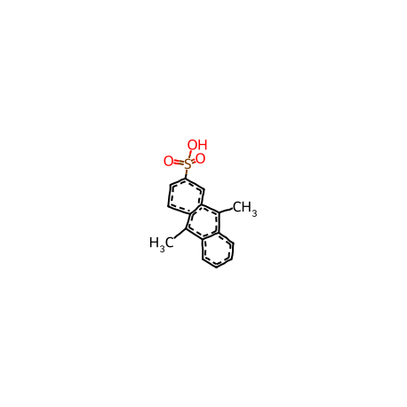 Cc1c2ccccc2c(C)c2cc(S(=O)(=O)O)ccc12